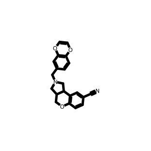 N#Cc1ccc2c(c1)C1CN(Cc3ccc4c(c3)OC=CO4)CC1CO2